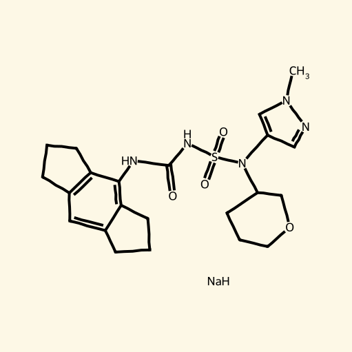 Cn1cc(N(C2CCCOC2)S(=O)(=O)NC(=O)Nc2c3c(cc4c2CCC4)CCC3)cn1.[NaH]